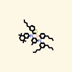 CCCCc1cc(CCCC)cc(N2c3cc(CCCC)ccc3B3c4sc5ccc(CCCC)cc5c4N(c4ccc5c(c4)C(C)(C)CCC5(C)C)c4cc(C)cc2c43)c1